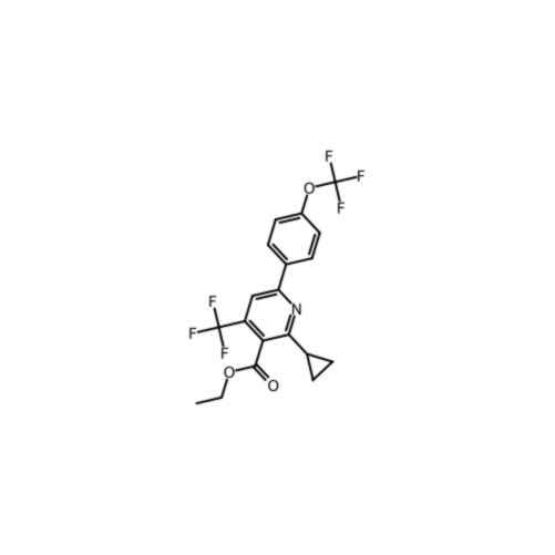 CCOC(=O)c1c(C(F)(F)F)cc(-c2ccc(OC(F)(F)F)cc2)nc1C1CC1